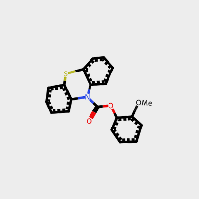 COc1ccccc1OC(=O)N1c2ccccc2Sc2ccccc21